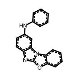 c1ccc(Nc2ccc3nc4oc5ccccc5n4c3c2)cc1